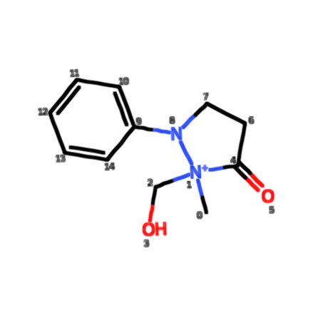 C[N+]1(CO)C(=O)CCN1c1ccccc1